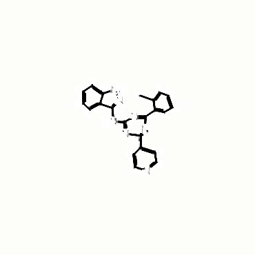 Cc1ccccc1-c1nc(Nc2n[nH]c3ccccc23)nc(-c2ccncc2)n1